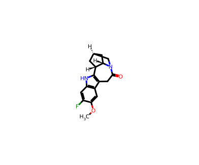 COc1cc2c3c([nH]c2cc1F)[C@@H]1C[C@H]2C[C@@H]1N(C2)C(=O)C3